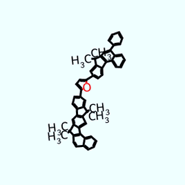 CC1(C)c2cc(-c3ccc(-c4ccc5c(c4)C(C)(C)c4cc(-c6ccccc6)c6ccccc6c4-5)o3)ccc2-c2cc3c(cc21)-c1c(ccc2ccccc12)C3(C)C